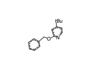 CC(C)(C)c1ccnc(OCc2ccccc2)c1